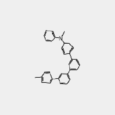 Cc1ccc(-c2cccc(-c3cccc(C4=CCC(N(C)c5ccccc5)C=C4)c3)c2)cc1